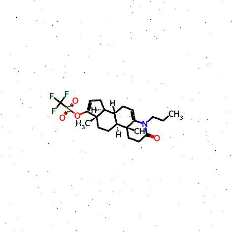 CCCN1C(=O)CC[C@@]2(C)C1=CC[C@@H]1[C@@H]2CC[C@]2(C)C(OS(=O)(=O)C(F)(F)F)=CC[C@@H]12